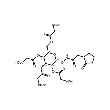 CCCCCCCCCCCC(=O)OC[C@H]1O[C@H](ONC(=O)CC2CCCC2=O)[C@H](OC(=O)CCCCCCCCCCC)[C@@H](OC(=O)CCCCCCCCCCC)[C@H]1OC(=O)CCCCCCCCCCC